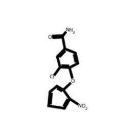 NC(=O)c1ccc(Oc2ccccc2[N+](=O)[O-])c(Cl)c1